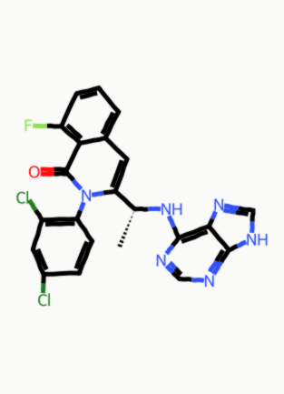 C[C@@H](Nc1ncnc2[nH]cnc12)c1cc2cccc(F)c2c(=O)n1-c1ccc(Cl)cc1Cl